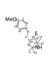 COc1ccc(CC[C@H]2CC(C)(C)NC(C)(C)[C@H]2F)cc1